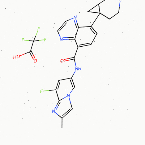 Cc1cn2cc(NC(=O)c3ccc(C45CCNCC4C5)c4nccnc34)cc(F)c2n1.O=C(O)C(F)(F)F